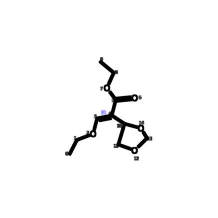 CCO/C=C(/C(=O)OCC)C1COCO1